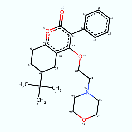 CC(C)(C)C1CCc2oc(=O)c(-c3ccccc3)c(OCCN3CCOCC3)c2C1